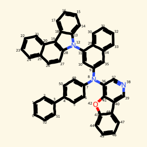 c1ccc(-c2ccc(N(c3cc(-n4c5ccccc5c5c6ccccc6ccc54)c4ccccc4c3)c3cncc4c3oc3ccccc34)cc2)cc1